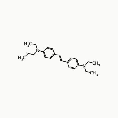 CCCN(CC)c1ccc(/C=C/c2ccc(N(CC)CC)cc2)cc1